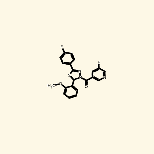 COc1ccccc1C1SC(c2ccc(F)cc2)=NN1C(=O)c1cncc(F)c1